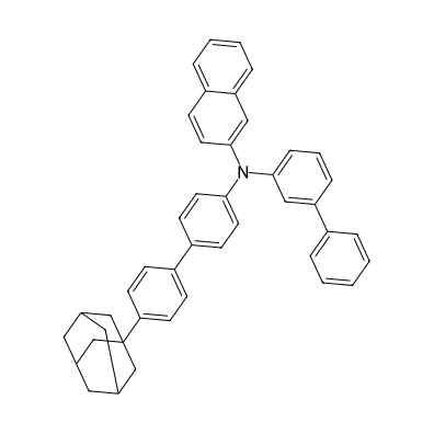 c1ccc(-c2cccc(N(c3ccc(-c4ccc(C56CC7CC(CC(C7)C5)C6)cc4)cc3)c3ccc4ccccc4c3)c2)cc1